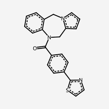 O=C(c1ccc(-c2nccs2)cc1)N1Cc2cccn2Cc2ccccc21